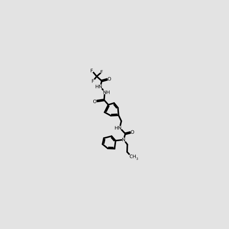 CCCN(C(=O)NCc1ccc(C(=O)NNC(=O)C(F)(F)F)cc1)c1ccccc1